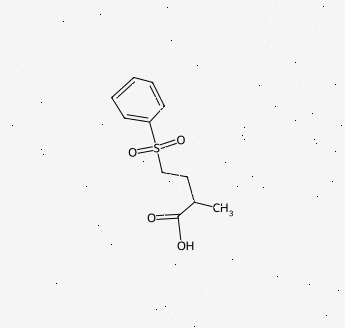 CC(CCS(=O)(=O)c1ccccc1)C(=O)O